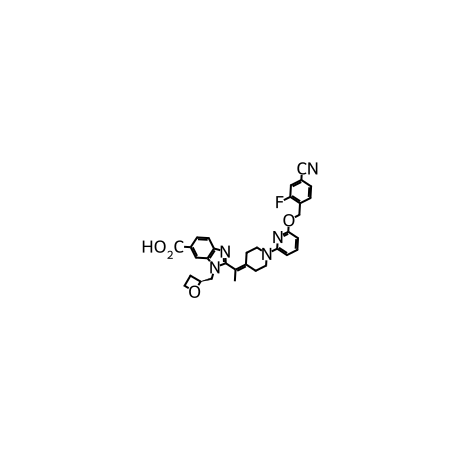 CC(=C1CCN(c2cccc(OCc3ccc(C#N)cc3F)n2)CC1)c1nc2ccc(C(=O)O)cc2n1C[C@@H]1CCO1